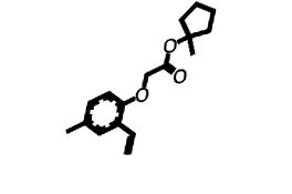 C=Cc1cc(C)ccc1OCC(=O)OC1(C)CCCC1